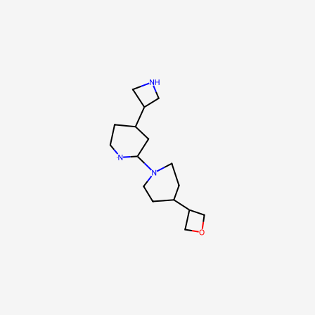 C1CC(C2CNC2)CC(N2CCC(C3COC3)CC2)[N]1